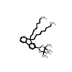 CCCCCCCCC1(CCCCCCCC)c2ccccc2-c2ccc(B3OC(C)(C)C(C)(C)O3)cc21